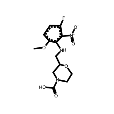 COc1ccc(F)c([N+](=O)[O-])c1NCC1CN(C(=O)O)CCO1